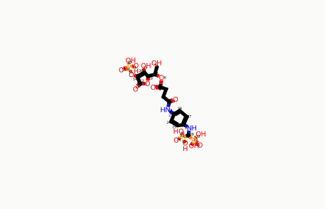 O=C(CCC(=O)OC(CO)C1OC(=O)C(OP(=O)(O)O)=C1O)Nc1ccc(NC(P(=O)(O)O)P(=O)(O)O)cc1